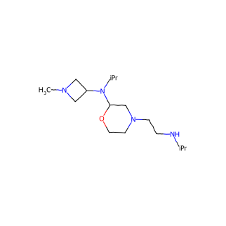 CC(C)NCCN1CCOC(N(C(C)C)C2CN(C)C2)C1